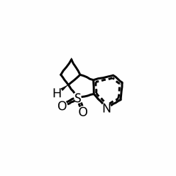 O=S1(=O)c2ncccc2C2CC[C@H]21